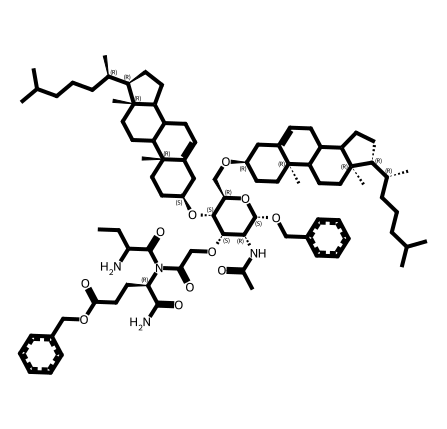 CCC(N)C(=O)N(C(=O)CO[C@H]1[C@@H](NC(C)=O)[C@@H](OCc2ccccc2)O[C@H](CO[C@@H]2CC[C@@]3(C)C(=CCC4C3CC[C@@]3(C)C4CC[C@@H]3[C@H](C)CCCC(C)C)C2)[C@H]1O[C@H]1CC[C@@]2(C)C(=CCC3C2CC[C@@]2(C)C3CC[C@@H]2[C@H](C)CCCC(C)C)C1)[C@H](CCC(=O)OCc1ccccc1)C(N)=O